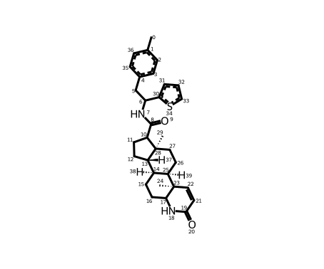 Cc1ccc(CC(NC(=O)C2CC[C@H]3[C@@H]4CCC5NC(=O)C=C[C@]5(C)[C@@H]4CC[C@]23C)c2cccs2)cc1